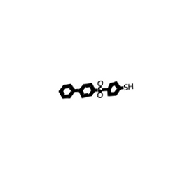 O=S(=O)(c1ccc(S)cc1)c1ccc(-c2ccccc2)cc1